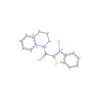 O=C(c1sc2ccccc2c1Cl)N1CCCc2ccccc21